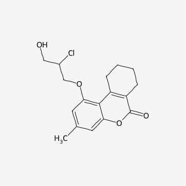 Cc1cc(OCC(Cl)CO)c2c3c(c(=O)oc2c1)CCCC3